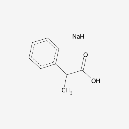 CC(C(=O)O)c1ccccc1.[NaH]